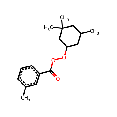 Cc1cccc(C(=O)OO[C]2CC(C)CC(C)(C)C2)c1